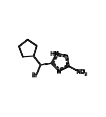 O=[N+]([O-])c1c[nH]c(C(Br)C2CCCC2)n1